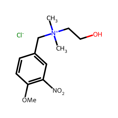 COc1ccc(C[N+](C)(C)CCO)cc1[N+](=O)[O-].[Cl-]